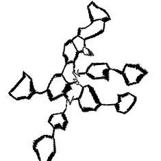 c1ccc(-c2ccc(N3B4c5cc(-c6ccccc6)ccc5N(c5ccc(-c6ccccc6)cc5)c5cc(-c6ccccc6)cc(c54)-c4ccc5c(oc6cc7ccccc7cc65)c43)cc2)cc1